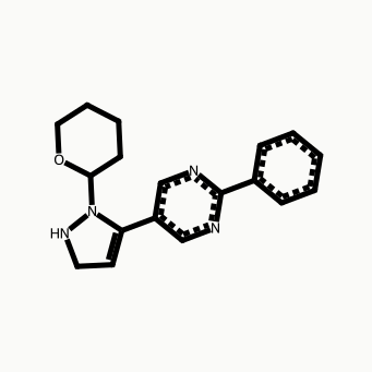 C1=C(c2cnc(-c3ccccc3)nc2)N(C2CCCCO2)NC1